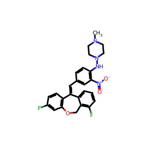 CN1CCN(Nc2ccc(/C=C3/c4ccc(F)cc4OCc4c(F)cccc43)cc2[N+](=O)[O-])CC1